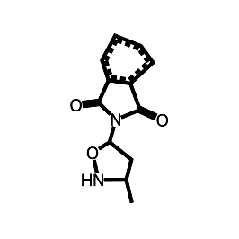 CC1CC(N2C(=O)c3ccccc3C2=O)ON1